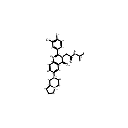 CC(C)NC(=O)Cn1c(-c2ccc(F)c(Cl)c2)nc2ccc(N3CCN4CCCC4C3)cc2c1=O